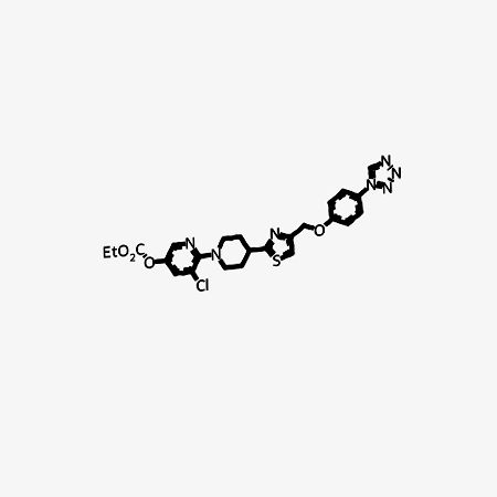 CCOC(=O)Oc1cnc(N2CCC(c3nc(COc4ccc(-n5cnnn5)cc4)cs3)CC2)c(Cl)c1